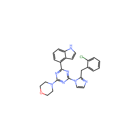 Clc1ccccc1Cc1nccn1-c1nc(-c2cccc3[nH]ccc23)nc(N2CCOCC2)n1